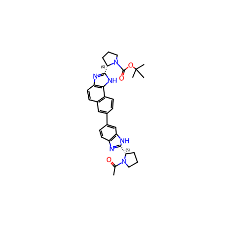 CC(=O)N1CCC[C@H]1c1nc2ccc(-c3ccc4c(ccc5nc([C@@H]6CCCN6C(=O)OC(C)(C)C)[nH]c54)c3)cc2[nH]1